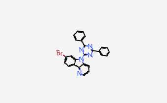 Brc1ccc2c3ncccc3n(-c3nc(-c4ccccc4)nc(-c4ccccc4)n3)c2c1